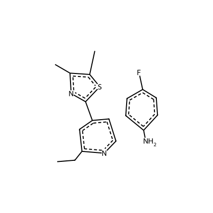 CCc1cc(-c2nc(C)c(C)s2)ccn1.Nc1ccc(F)cc1